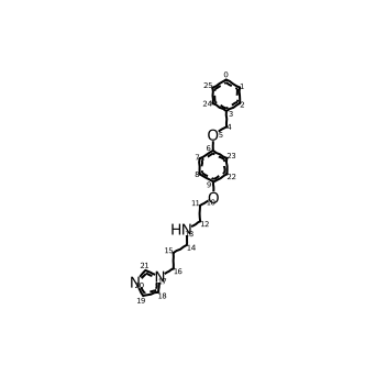 c1ccc(COc2ccc(OCCNCCCn3ccnc3)cc2)cc1